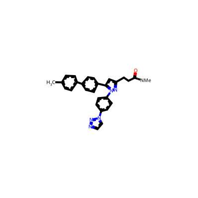 CNC(=O)CCc1cc(-c2ccc(-c3ccc(C)cc3)cc2)n(-c2ccc(-n3ccnn3)cc2)n1